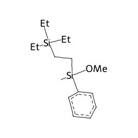 CC[Si](CC)(CC)CC[Si](C)(OC)c1ccccc1